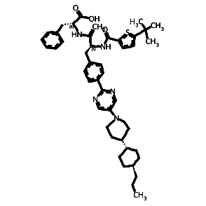 C=C(N[C@H](Cc1ccccc1)C(=O)O)[C@H](Cc1ccc(-c2ncc(N3CCC([C@H]4CC[C@H](CCC)CC4)CC3)cn2)cc1)NC(=O)c1ccc(C(C)(C)C)s1